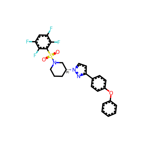 O=S(=O)(c1c(F)c(F)cc(F)c1F)N1CCC[C@@H](n2ccc(-c3ccc(Oc4ccccc4)cc3)n2)C1